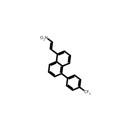 O=[N+]([O-])/C=C/c1cccc2c(-c3ccc(C(F)(F)F)cc3)cccc12